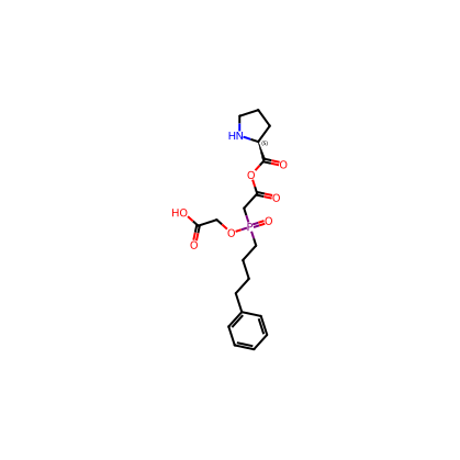 O=C(O)COP(=O)(CCCCc1ccccc1)CC(=O)OC(=O)[C@@H]1CCCN1